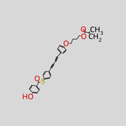 C=C(C)C(=O)OCCCCOc1ccc(C#CC#Cc2ccc(SC(=O)c3ccc(O)cc3)cc2)cc1